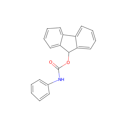 O=C(Nc1ccccc1)OC1c2ccccc2-c2ccccc21